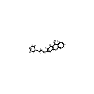 OC1C2=CC=CCC=C2Sc2cc(OCCN3CCOCC3)ccc21